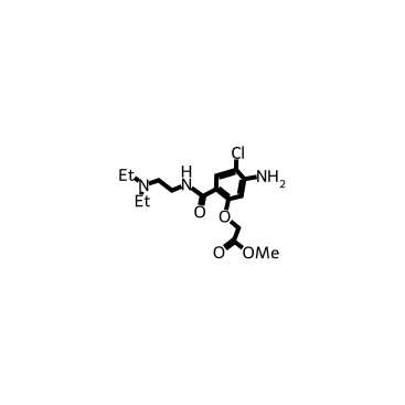 CCN(CC)CCNC(=O)c1cc(Cl)c(N)cc1OCC(=O)OC